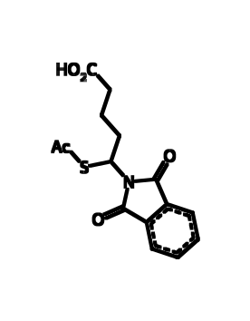 CC(=O)SC(CCCC(=O)O)N1C(=O)c2ccccc2C1=O